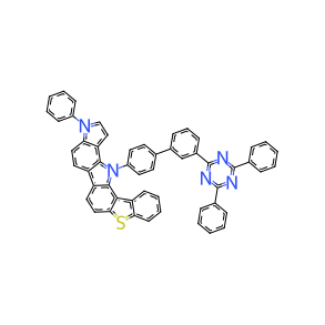 c1ccc(-c2nc(-c3ccccc3)nc(-c3cccc(-c4ccc(-n5c6c(ccc7c6ccn7-c6ccccc6)c6ccc7sc8ccccc8c7c65)cc4)c3)n2)cc1